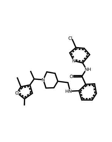 Cc1cc(C(C)N2CCC(CNc3ccccc3C(=O)Nc3ccc(Cl)cn3)CC2)c(C)o1